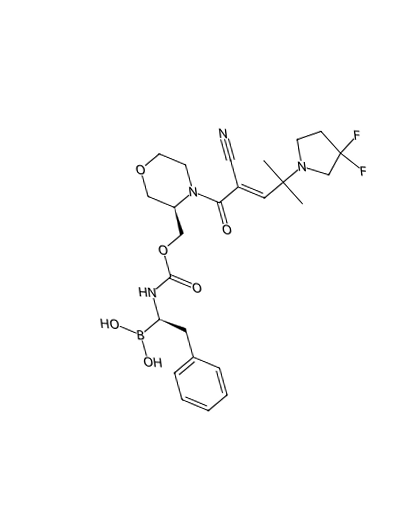 CC(C)(C=C(C#N)C(=O)N1CCOC[C@@H]1COC(=O)N[C@@H](Cc1ccccc1)B(O)O)N1CCC(F)(F)C1